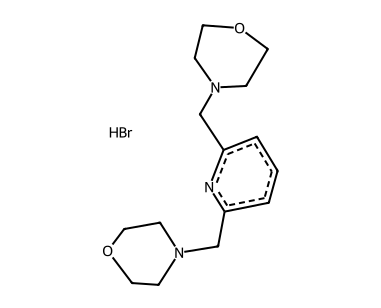 Br.c1cc(CN2CCOCC2)nc(CN2CCOCC2)c1